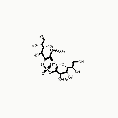 CC(=O)N[C@@H](C(=O)OS(=O)(=O)O[C@@H](C(=O)OS(=O)(=O)O)[C@@H](O)[C@@H](O)[C@H](O)CO)[C@@H](O)[C@H](O)[C@H](O)CO